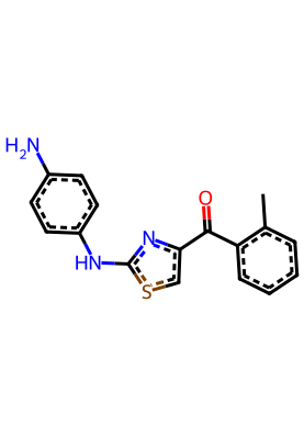 Cc1ccccc1C(=O)c1csc(Nc2ccc(N)cc2)n1